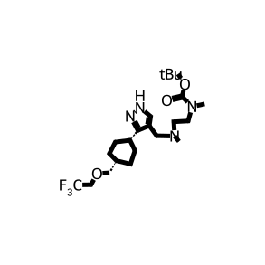 CN(CCN(C)C(=O)OC(C)(C)C)Cc1c[nH]nc1[C@H]1CC[C@@H](COCC(F)(F)F)CC1